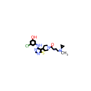 CN(C/C=C/C(=O)N1CCc2c(sc3ncnc(Nc4cc(O)cc(Cl)c4)c23)C1)C1CC1